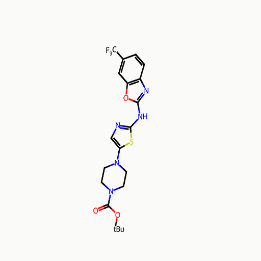 CC(C)(C)OC(=O)N1CCN(c2cnc(Nc3nc4ccc(C(F)(F)F)cc4o3)s2)CC1